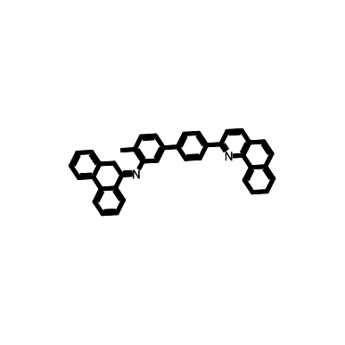 Cc1ccc(-c2ccc(-c3ccc4ccc5c(c4n3)=CCCC=5)cc2)cc1/N=C1\Cc2ccccc2-c2ccccc21